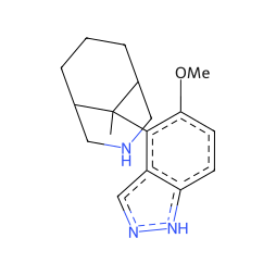 COc1ccc2[nH]ncc2c1C1(C)C2CCCC1CNC2